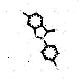 C=C1c2ccc(F)cc2SN1c1ccc(Cl)cc1